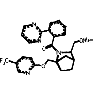 COCC1C2CCC(COc3ccc(C(F)(F)F)cn3)(C2)N1C(=O)c1ccccc1-c1ncccn1